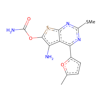 CSc1nc(-c2ccc(C)o2)c2c(N)c(OC(N)=O)sc2n1